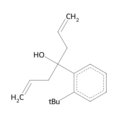 C=CCC(O)(CC=C)c1ccccc1C(C)(C)C